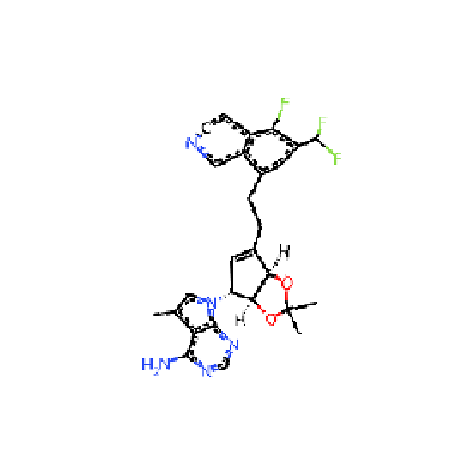 Cc1cn([C@@H]2C=C(CCc3cc(C(F)F)c(F)c4ccncc34)[C@H]3OC(C)(C)O[C@H]32)c2ncnc(N)c12